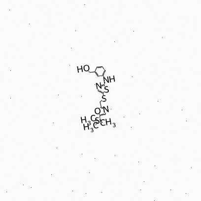 C[Si](C)(C)c1cnc(CSc2cnc(Nc3cccc(CO)c3)s2)o1